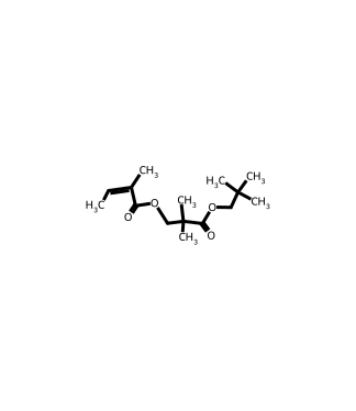 CC=C(C)C(=O)OCC(C)(C)C(=O)OCC(C)(C)C